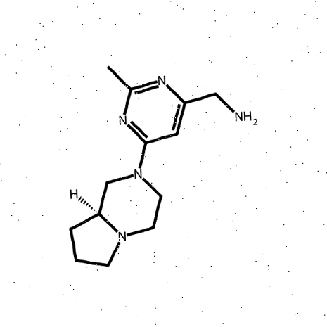 Cc1nc(CN)cc(N2CCN3CCC[C@H]3C2)n1